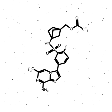 Nc1nc(C(F)(F)F)cn2c(-c3ccc(F)c(S(=O)(=O)NC45CCC(COC(=O)C(F)(F)F)(C4)C5)c3)cnc12